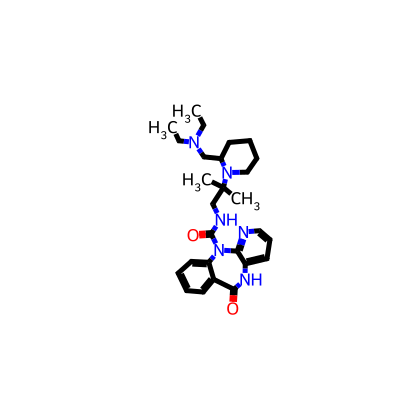 CCN(CC)CC1CCCCN1C(C)(C)CNC(=O)N1c2ccccc2C(=O)Nc2cccnc21